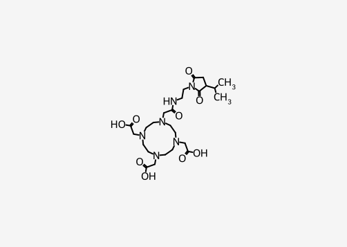 CC(C)C1CC(=O)N(CCNC(=O)CN2CCN(CC(=O)O)CCN(CC(=O)O)CCN(CC(=O)O)CC2)C1=O